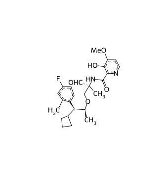 COc1ccnc(C(=O)N[C@](C)(C=O)CO[C@@H](C)[C@H](c2ccc(F)cc2C)C2CCC2)c1O